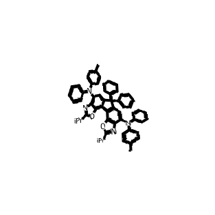 Cc1ccc(N(c2ccccc2)c2cc3c(c4oc(C(C)C)nc24)-c2c(cc(N(c4ccccc4)c4ccc(C)cc4)c4nc(C(C)C)oc24)C3(c2ccccc2)c2ccccc2)cc1